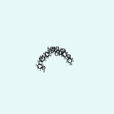 COc1cccc(CN2CCN(c3ccc(OC[C@@H](O)[C@@H](O)[C@H](O)[C@H](C=O)Oc4ccc(OC5CCCCC5)cc4)cc3)CC2)c1